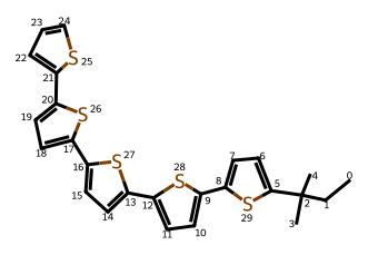 CCC(C)(C)c1ccc(-c2ccc(-c3ccc(-c4ccc(-c5cccs5)s4)s3)s2)s1